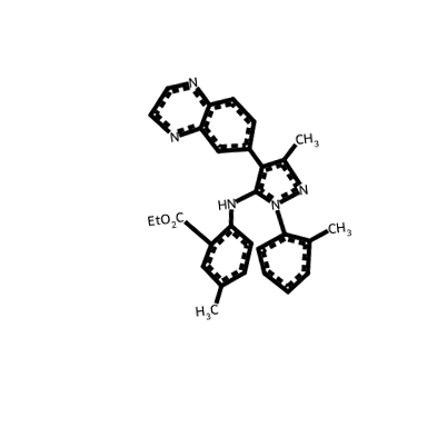 CCOC(=O)c1cc(C)ccc1Nc1c(-c2ccc3nccnc3c2)c(C)nn1-c1ccccc1C